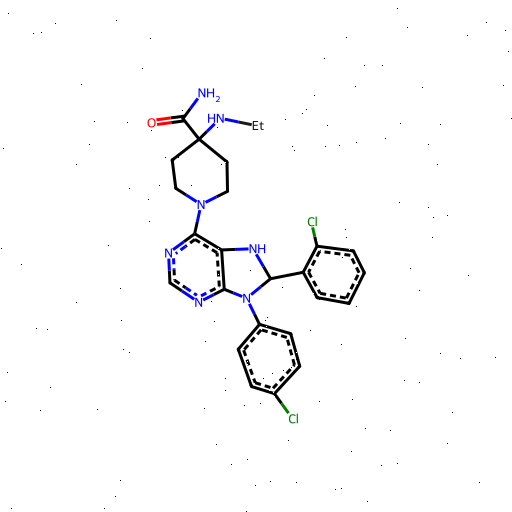 CCNC1(C(N)=O)CCN(c2ncnc3c2NC(c2ccccc2Cl)N3c2ccc(Cl)cc2)CC1